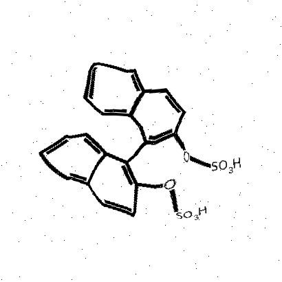 O=S(=O)(O)Oc1ccc2ccccc2c1-c1c(OS(=O)(=O)O)ccc2ccccc12